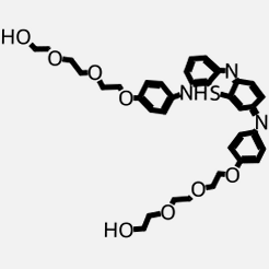 OCCOCCOCCOc1ccc(N=c2ccc3nc4cccc(Nc5ccc(OCCOCCOCCO)cc5)c4sc-3c2)cc1